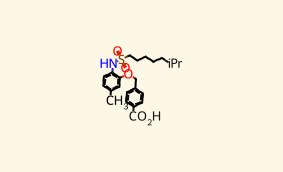 Cc1ccc(NS(=O)(=O)CCCCCC(C)C)c(OCc2ccc(C(=O)O)cc2)c1